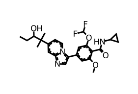 CCC(O)C(C)(C)c1ccn2c(-c3cc(OC)c(C(=O)NC4CC4)c(OC(F)F)c3)cnc2c1